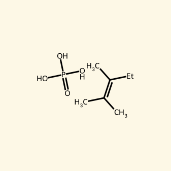 CCC(C)=C(C)C.O=P(O)(O)O